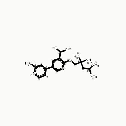 Cc1cc(-c2cnc(OCC(C)(N)CC(C)C)c(C(F)F)c2)ccn1